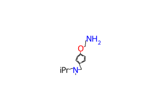 CC(C)CN(C)Cc1ccc(OCCN)cc1